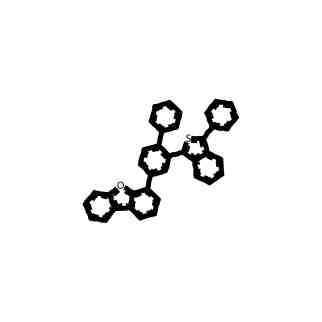 c1ccc(-c2ccc(-c3cccc4c3oc3ccccc34)cc2-c2sc(-c3ccccc3)c3ccccc23)cc1